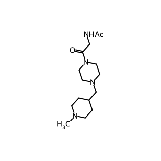 CC(=O)NCC(=O)N1CCN(CC2CCN(C)CC2)CC1